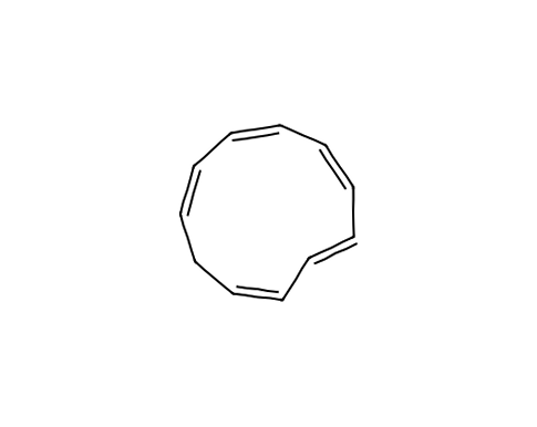 C1=C\C=C/C/C=C\C=C\C=C/1